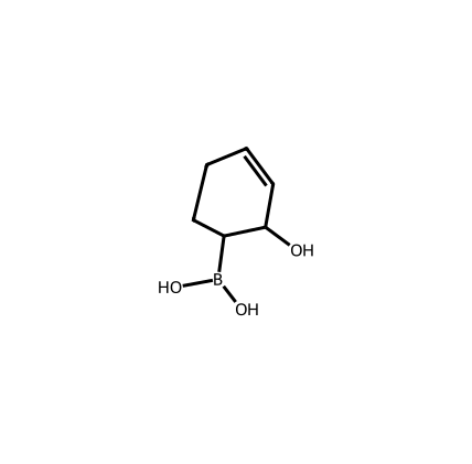 OB(O)C1CCC=CC1O